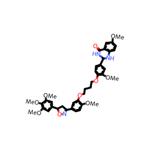 COc1ccc2c(c1)C(=O)NC(c1ccc(OCCCCOc3cc(C4=NOC(c5cc(OC)c(OC)c(OC)c5)C4)ccc3OC)c(OC)c1)N2